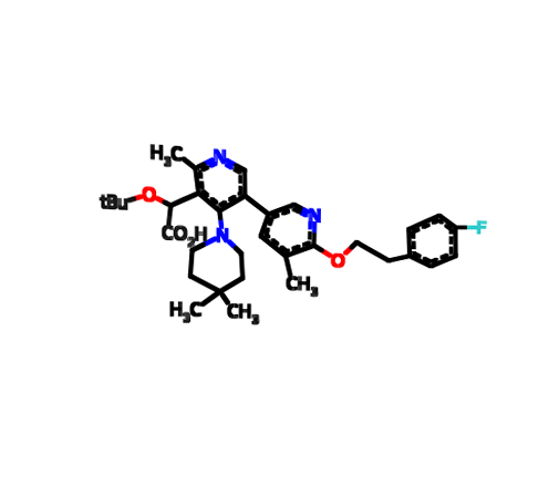 Cc1cc(-c2cnc(C)c(C(OC(C)(C)C)C(=O)O)c2N2CCC(C)(C)CC2)cnc1OCCc1ccc(F)cc1